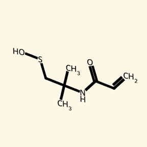 C=CC(=O)NC(C)(C)CSO